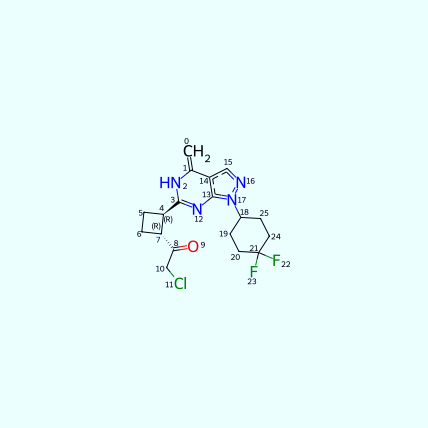 C=C1NC([C@@H]2CC[C@H]2C(=O)CCl)=Nc2c1cnn2C1CCC(F)(F)CC1